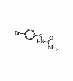 NC(=O)NSc1ccc(Br)cc1